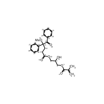 C=C(C)C(=O)OCC(O)COC(=O)CCC(OC)(C(=O)c1ccccc1)c1ccccc1